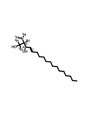 [2H]N([2H])[C@]([2H])([C@H](O)/C=C/CCCCCCCCCCCCC)C([2H])([2H])O